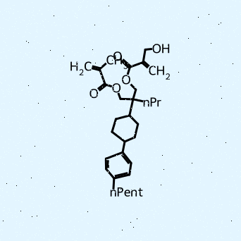 C=C(C)C(=O)OCC(CCC)(COC(=O)C(=C)CO)C1CCC(c2ccc(CCCCC)cc2)CC1